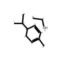 CC1=CCC(C(C)C)C=C1.CCO